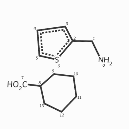 NCc1cccs1.O=C(O)C1CCCCC1